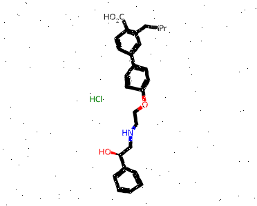 CC(C)Cc1cc(-c2ccc(OCCNC[C@H](O)c3ccccc3)cc2)ccc1C(=O)O.Cl